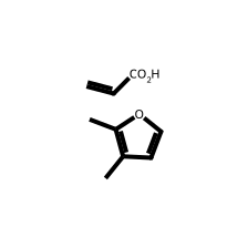 C=CC(=O)O.Cc1ccoc1C